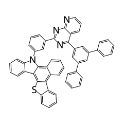 c1ccc(-c2cc(-c3ccccc3)cc(-c3nc(-c4cccc(-n5c6ccccc6c6c7sc8ccccc8c7c7ccccc7c65)c4)nc4ncccc34)c2)cc1